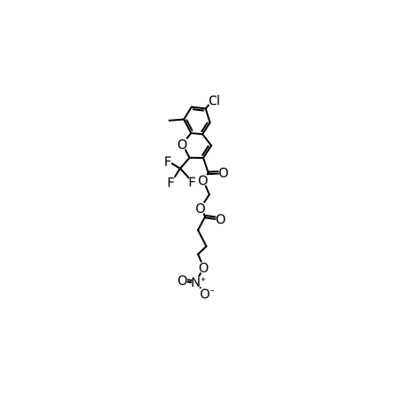 Cc1cc(Cl)cc2c1OC(C(F)(F)F)C(C(=O)OCOC(=O)CCCO[N+](=O)[O-])=C2